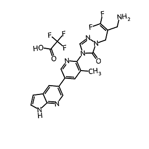 Cc1cc(-c2cnc3[nH]ccc3c2)cnc1-n1cnn(CC(CN)=C(F)F)c1=O.O=C(O)C(F)(F)F